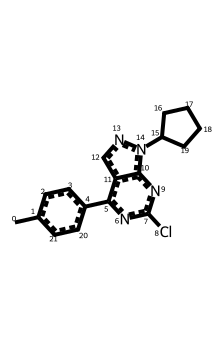 Cc1ccc(-c2nc(Cl)nc3c2cnn3C2CCCC2)cc1